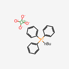 CCCC[P+](c1ccccc1)(c1ccccc1)c1ccccc1.[O-][Cl+3]([O-])([O-])[O-]